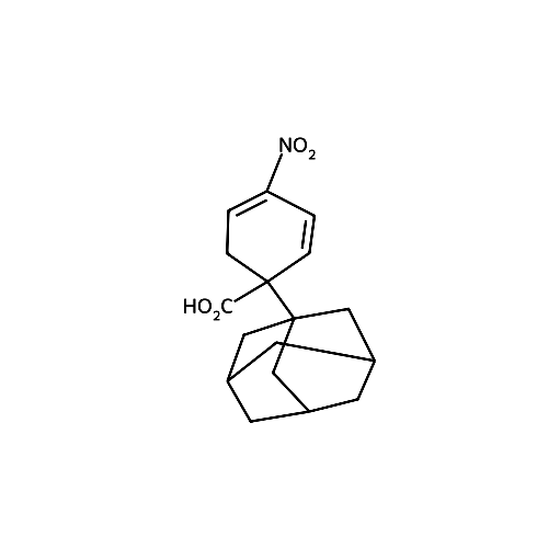 O=C(O)C1(C23CC4CC(CC(C4)C2)C3)C=CC([N+](=O)[O-])=CC1